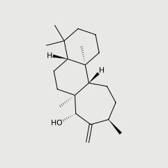 C=C1[C@H](C)CC[C@H]2[C@]3(C)CCCC(C)(C)[C@H]3CC[C@]2(C)[C@H]1O